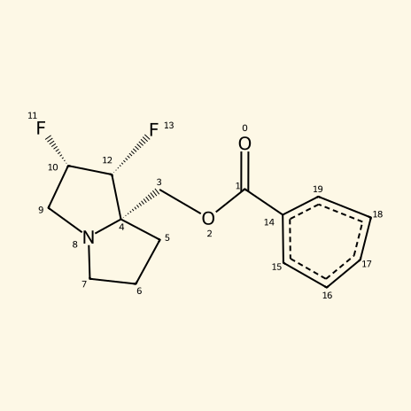 O=C(OC[C@]12CCCN1C[C@H](F)[C@@H]2F)c1ccccc1